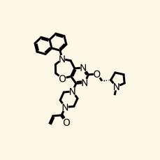 C=CC(=O)N1CCN(c2nc(OC[C@@H]3CCCN3C)nc3c2OCCN(c2cccc4ccccc24)C3)CC1